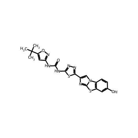 CC(C)(C)c1cc(NC(=O)Nc2nnc(-c3cn4c(n3)sc3cc(O)ccc34)s2)no1